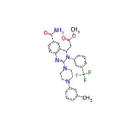 COC(=O)CC1c2cc(C(N)=O)ccc2N=C(N2CCN(c3cccc(C)c3)CC2)N1c1cccc(C(F)(F)F)c1